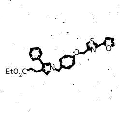 CCOC(=O)CCc1cn(Cc2ccc(OCc3csc(-c4ccco4)n3)cc2)cc1-c1ccccc1